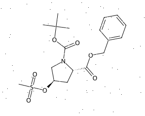 CC(C)(C)OC(=O)N1C[C@H](OS(C)(=O)=O)C[C@H]1C(=O)OCc1ccccc1